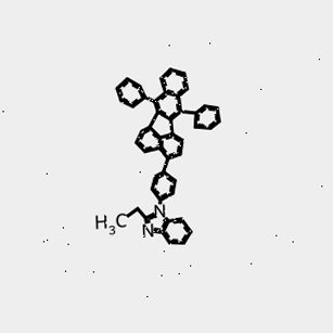 CCc1nc2ccccc2n1-c1ccc(-c2ccc3c4c(cccc24)-c2c-3c(-c3ccccc3)c3ccccc3c2-c2ccccc2)cc1